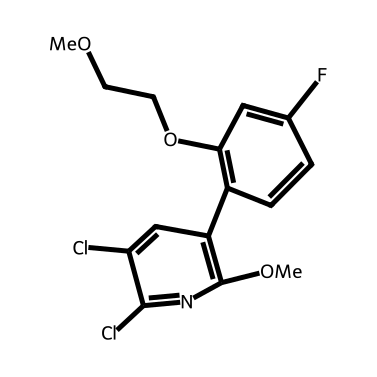 COCCOc1cc(F)ccc1-c1cc(Cl)c(Cl)nc1OC